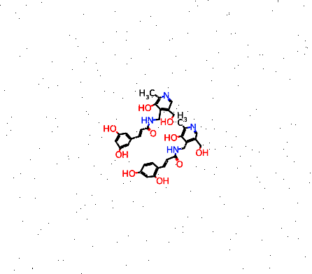 Cc1ncc(CO)c(CNC(=O)C=Cc2cc(O)cc(O)c2)c1O.Cc1ncc(CO)c(CNC(=O)C=Cc2ccc(O)cc2O)c1O